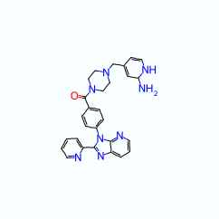 NC1C=C(CN2CCN(C(=O)c3ccc(-n4c(-c5ccccn5)nc5cccnc54)cc3)CC2)C=CN1